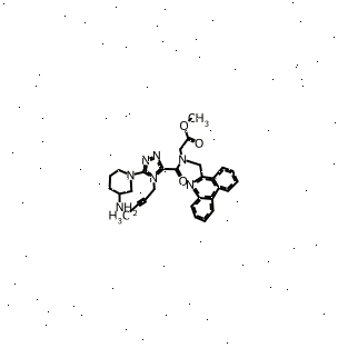 CC#CCn1c(C(=O)N(CC(=O)OC)Cc2nc3ccccc3c3ccccc23)nnc1N1CCCC(N)C1